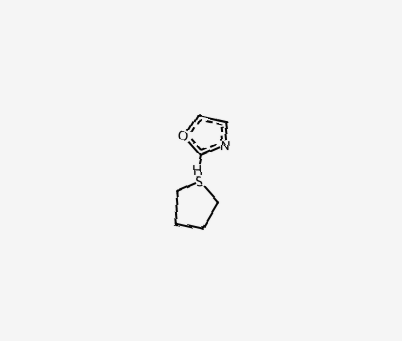 c1coc([SH]2CCCC2)n1